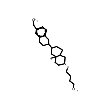 CCCCCO[C@@H]1CC[C@@H]2CC(C3CCc4cc(CC)ccc4C3)CCC2C1